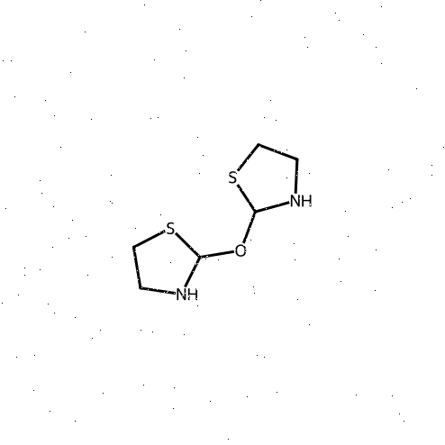 C1CSC(OC2NCCS2)N1